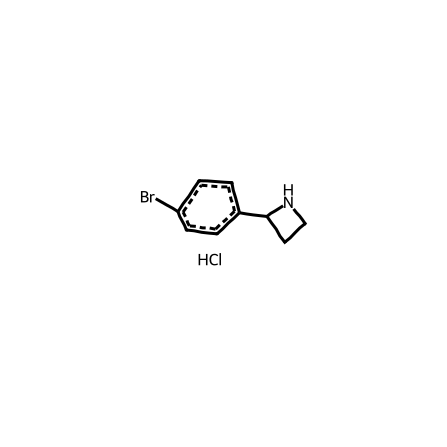 Brc1ccc(C2CCN2)cc1.Cl